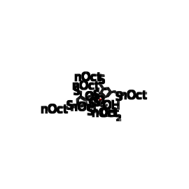 C=C(O)COP(=S)(Oc1c(CSCCCCCCCC)cc(CSCCCCCCCC)cc1CSCCCCCCCC)Sc1c(CSCCCCCCCC)cc(CSCCCCCCCC)cc1CSCCCCCCCC